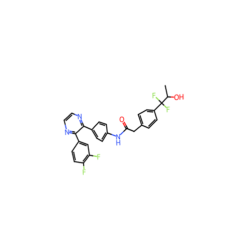 CC(O)C(F)(F)c1ccc(CC(=O)Nc2ccc(-c3nccnc3-c3ccc(F)c(F)c3)cc2)cc1